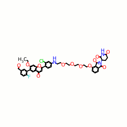 CCOc1cc2oc(-c3ccc(NCCOCCOCCOCCOc4cccc5c4C(=O)N(C4CCC(=O)NC4=O)C5=O)cc3Cl)cc(=O)c2cc1-c1cc(C=O)ccc1F